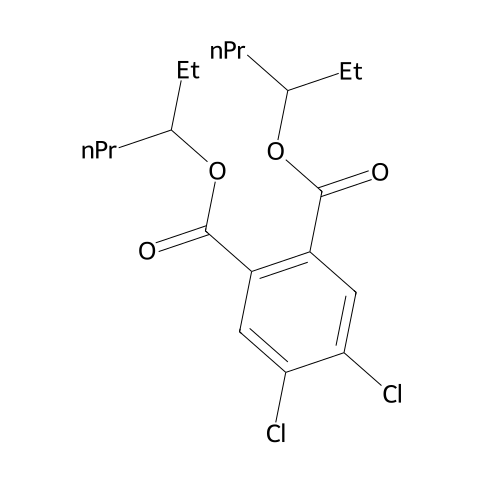 CCCC(CC)OC(=O)c1cc(Cl)c(Cl)cc1C(=O)OC(CC)CCC